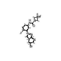 O=C(Nc1ccc(F)c(-n2cc3cc(Br)cnc3n2)c1)N1CC(F)(F)C1